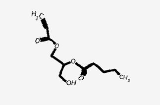 C=CC(=O)OCC(CO)OC(=O)CCCC